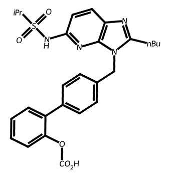 CCCCc1nc2ccc(NS(=O)(=O)C(C)C)nc2n1Cc1ccc(-c2ccccc2OC(=O)O)cc1